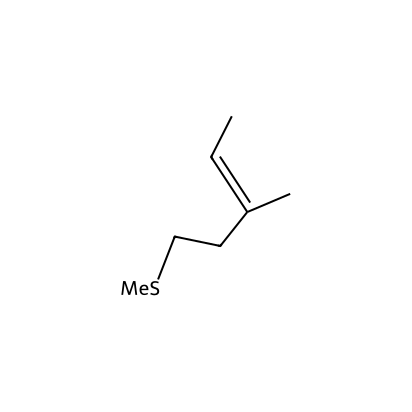 CC=C(C)CCSC